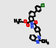 CCOC(=O)C1(NC(=O)c2ccc(Cn3c(C)nc4ccccc43)cc2)Cc2ccc(-c3ccc(Cl)cc3)cc2C1